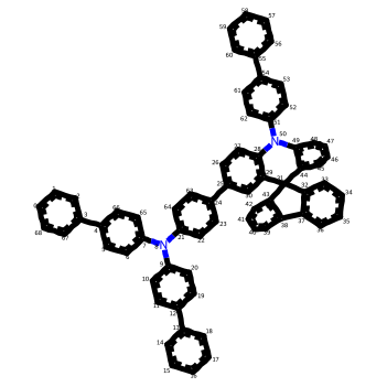 c1ccc(-c2ccc(N(c3ccc(-c4ccccc4)cc3)c3ccc(-c4ccc5c(c4)C4(c6ccccc6-c6ccccc64)c4ccccc4N5c4ccc(-c5ccccc5)cc4)cc3)cc2)cc1